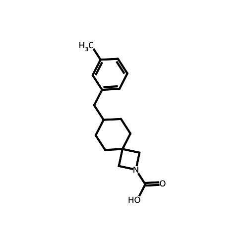 Cc1cccc(CC2CCC3(CC2)CN(C(=O)O)C3)c1